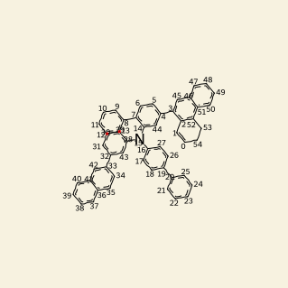 C1=Cc2c(-c3ccc(-c4ccccc4)c(N(c4ccc(-c5ccccc5)cc4)c4cccc(-c5ccc6ccccc6c5)c4)c3)cc3ccccc3c2CC1